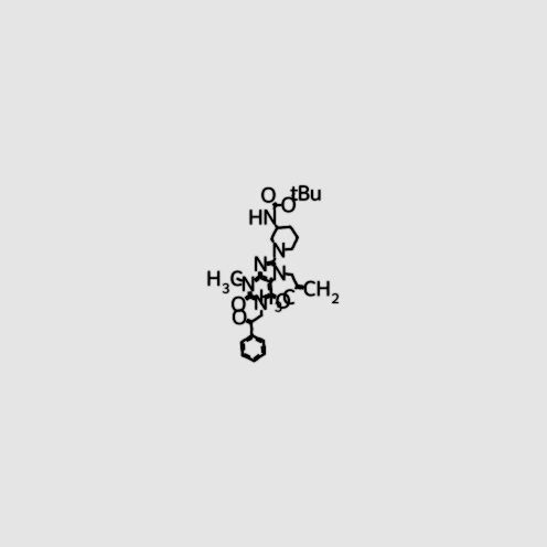 C=C(C)Cn1c(N2CCCC(NC(=O)OC(C)(C)C)C2)nc2c1c(=O)n(CC(=O)c1ccccc1)c(=O)n2C